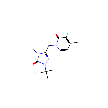 COC(C)(C)n1nc(Cn2ccc(C)c(F)c2=O)n(C)c1=O